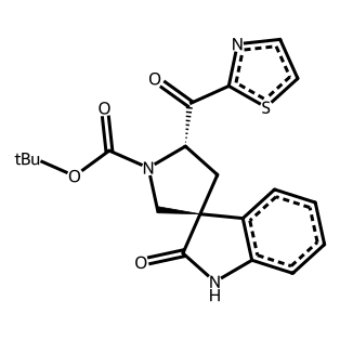 CC(C)(C)OC(=O)N1C[C@]2(C[C@H]1C(=O)c1nccs1)C(=O)Nc1ccccc12